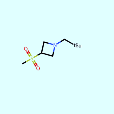 CC(C)(C)CN1CC(S(C)(=O)=O)C1